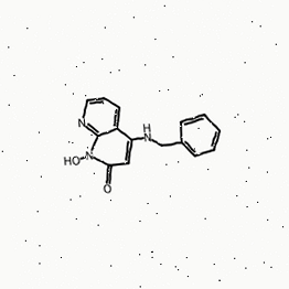 O=c1cc(NCc2ccccc2)c2cccnc2n1O